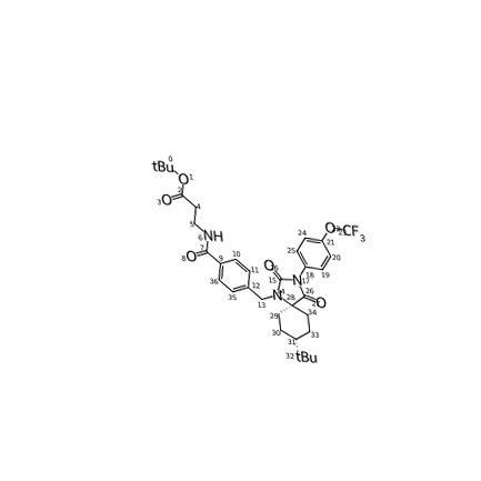 CC(C)(C)OC(=O)CCNC(=O)c1ccc(CN2C(=O)N(c3ccc(OC(F)(F)F)cc3)C(=O)[C@]23CC[C@@H](C(C)(C)C)CC3)cc1